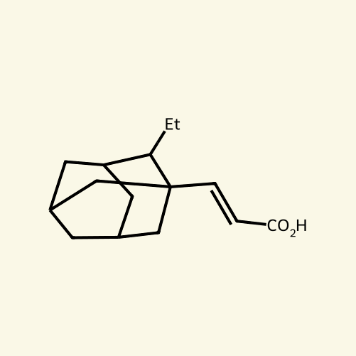 CCC1C2CC3CC(C2)CC1(C=CC(=O)O)C3